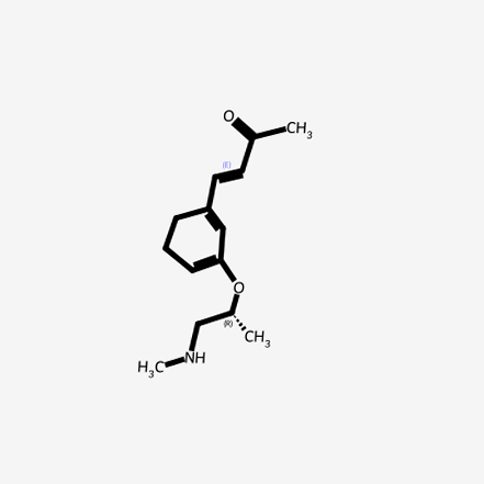 CNC[C@@H](C)OC1=CCCC(/C=C/C(C)=O)=C1